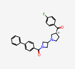 O=C(c1ccc(F)cc1)[C@H]1CCN(C2CN(C(=O)c3ccc(-c4ccccc4)cc3)C2)C1